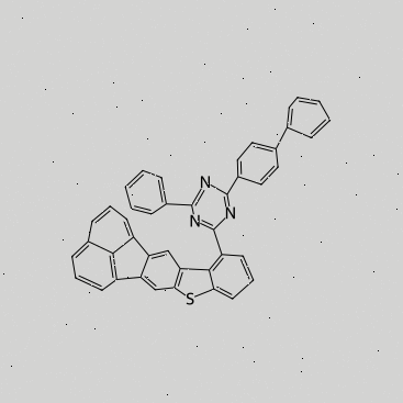 c1ccc(-c2ccc(-c3nc(-c4ccccc4)nc(-c4cccc5sc6cc7c(cc6c45)-c4cccc5cccc-7c45)n3)cc2)cc1